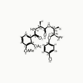 COc1ccnc(C(=O)N[C@@H](C)C(=O)O[C@@H](C)[C@H](Oc2ccc(Cl)cc2)C(C)C)c1OC(C)=O